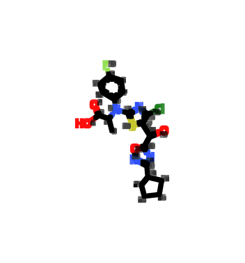 CC(C(=O)O)N(c1ccc(F)cc1)c1nc(Cl)c(C(=O)c2nc(C3CCCC3)no2)s1